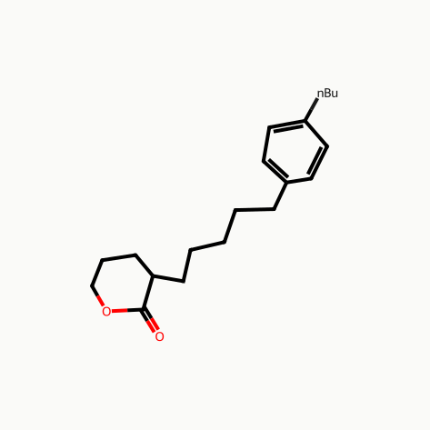 CCCCc1ccc(CCCCCC2CCCOC2=O)cc1